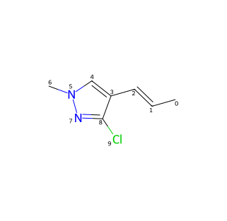 C/C=C/c1cn(C)nc1Cl